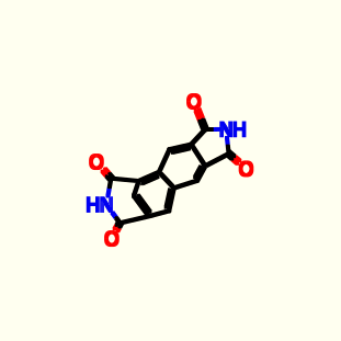 O=C1NC(=O)c2cc1cc1cc3c(cc21)C(=O)NC3=O